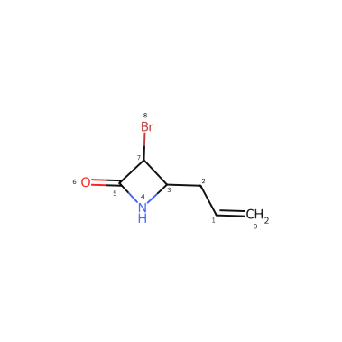 C=CCC1NC(=O)C1Br